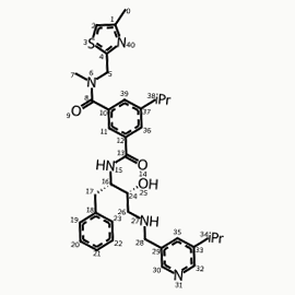 Cc1csc(CN(C)C(=O)c2cc(C(=O)N[C@@H](Cc3ccccc3)[C@H](O)CNCc3cncc(C(C)C)c3)cc(C(C)C)c2)n1